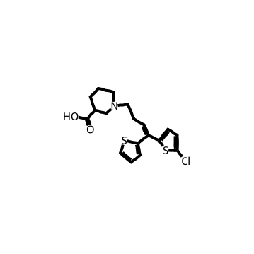 O=C(O)C1CCCN(CC/C=C(\c2cccs2)c2ccc(Cl)s2)C1